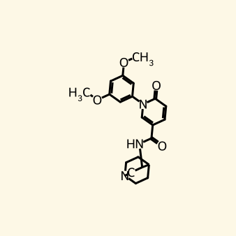 COc1cc(OC)cc(-n2cc(C(=O)NC3CN4CCC3CC4)ccc2=O)c1